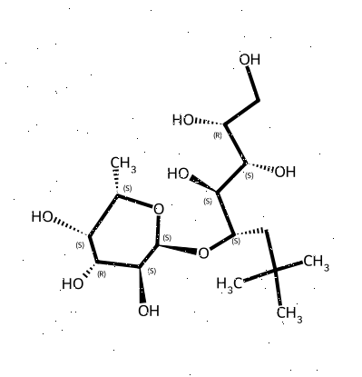 C[C@@H]1O[C@@H](O[C@@H](CC(C)(C)C)[C@@H](O)[C@@H](O)[C@H](O)CO)[C@@H](O)[C@H](O)[C@@H]1O